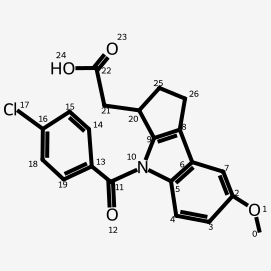 COc1ccc2c(c1)c1c(n2C(=O)c2ccc(Cl)cc2)C(CC(=O)O)CC1